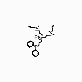 C=CC[Si](C)(C)CCC[Si](CC)(CCCP(c1ccccc1)c1ccccc1)CCC[Si](C)(C)CC=C